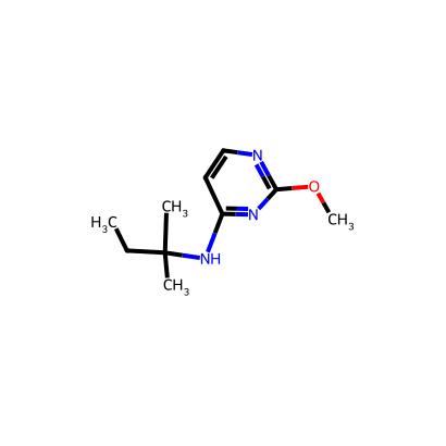 CCC(C)(C)Nc1ccnc(OC)n1